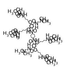 CN(C)CCNC(=O)c1cc(C(=O)N[C@H]2CC[C@H](NC(=O)c3cc(C(=O)NCCN(C)C)c(OCCCCCNC(=O)OC(C)(C)C)cc3OCCCCCNC(=O)OC(C)(C)C)CC2)c(OCCCCCNC(=O)OC(C)(C)C)cc1OCCCCCNC(=O)OC(C)(C)C